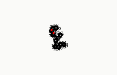 c1ccc(N(c2ccc(-c3cccc4ccc5c6ccccc6ccc5c34)cc2)c2ccc3sc4ccc5ccccc5c4c3c2)cc1